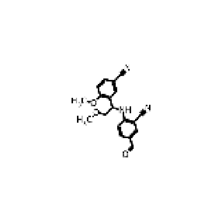 COCC(Nc1ccc(C=O)cc1C#N)c1cc(C#N)ccc1OC